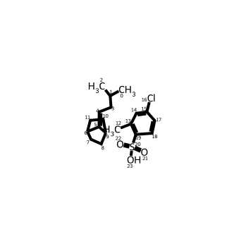 CC(C)CC=C1C2CCC1CC2.Cc1cc(Cl)ccc1S(=O)(=O)O